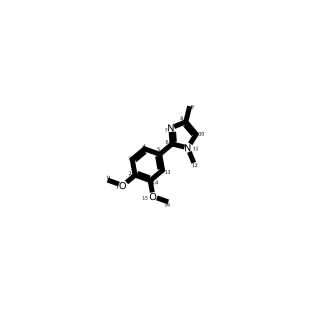 COc1ccc(-c2nc(C)cn2C)cc1OC